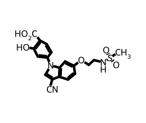 CS(=O)(=O)NCCOc1ccc2c(C#N)cn(-c3ccc(C(=O)O)c(O)c3)c2c1